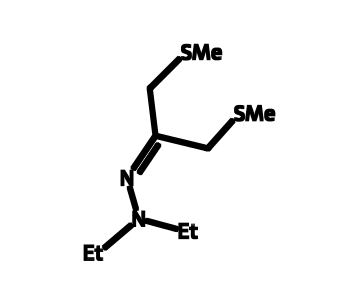 CCN(CC)N=C(CSC)CSC